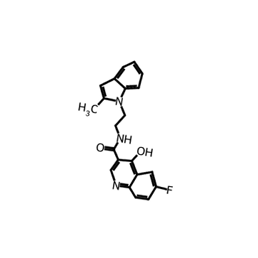 Cc1cc2ccccc2n1CCNC(=O)c1cnc2ccc(F)cc2c1O